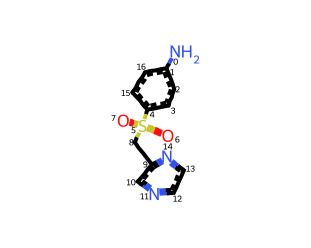 Nc1ccc(S(=O)(=O)Cc2cnccn2)cc1